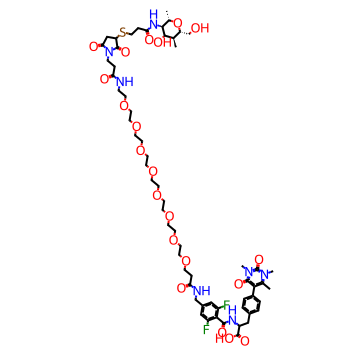 Cc1c(-c2ccc(CC(NC(=O)c3c(F)cc(CNC(=O)CCOCCOCCOCCOCCOCCOCCOCCOCCNC(=O)CCN4C(=O)CC(SCCC(=O)N[C@@H]5[C@H](O)[C@H](C)[C@@H](CO)O[C@H]5C)C4=O)cc3F)C(=O)O)cc2)c(=O)n(C)c(=O)n1C